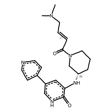 CN(C)C/C=C/C(=O)N1CCC[C@H](Nc2cc(-c3ccncc3)c[nH]c2=O)C1